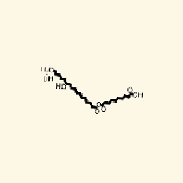 CCCCCCC(O)CCCCCCCCCCC(=O)OC(=O)CCCCCCCCC(=O)O.[LiH]